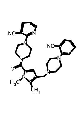 Cc1c(CN2CCN(c3ccccc3C#N)CC2)cc(C(=O)N2CCN(c3ncccc3C#N)CC2)n1C